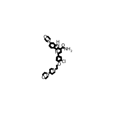 NC(=O)c1cc(-c2ccc(OCCN3CCC(N4CCOCC4)CC3)c(Cl)c2)nc2c1[nH]c1cc(N3CCOCC3)ccc12